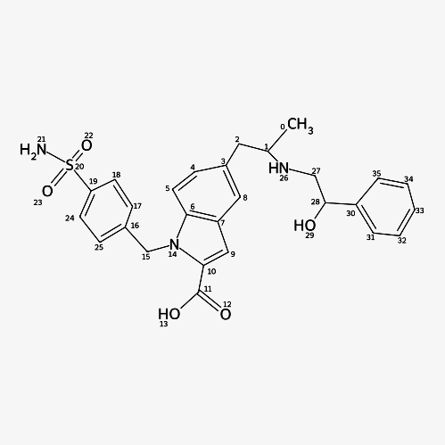 CC(Cc1ccc2c(c1)cc(C(=O)O)n2Cc1ccc(S(N)(=O)=O)cc1)NCC(O)c1ccccc1